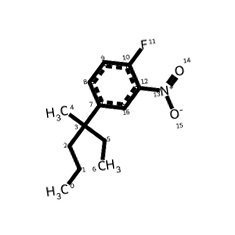 CCCC(C)(CC)c1ccc(F)c([N+](=O)[O-])c1